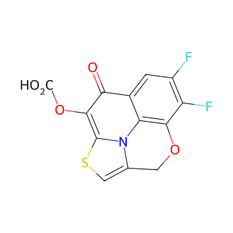 O=C(O)Oc1c(=O)c2cc(F)c(F)c3c2n2c(csc12)CO3